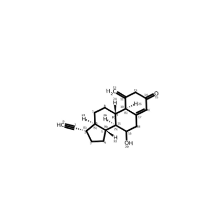 C#C[C@H]1CC[C@@H]2[C@@H]1CC[C@@H]1[C@H]3C(=C)CC(=O)C=C3CC(O)[C@H]12